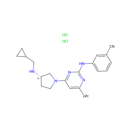 CCCc1cc(N2CC[C@H](NCC3CC3)C2)nc(Nc2cccc(C#N)c2)n1.Cl.Cl